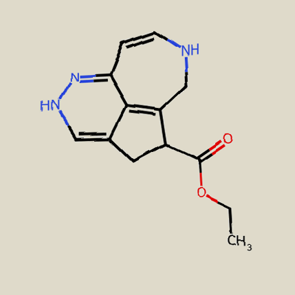 CCOC(=O)C1CC2=CNN=C3C=CNCC1=C23